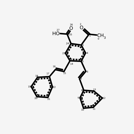 CC(=O)c1cc(C=Cc2ccccc2)c(C=Cc2ccccc2)cc1C(=O)O